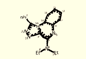 CCCc1nnc2c(N(CC)CC)nc3ccccc3n12